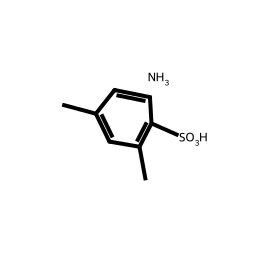 Cc1ccc(S(=O)(=O)O)c(C)c1.N